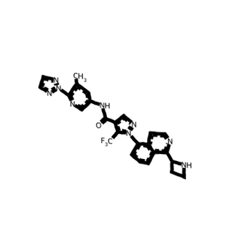 Cc1cc(NC(=O)c2cnn(-c3cccc4c(C5CCN5)nccc34)c2C(F)(F)F)cnc1-n1nccn1